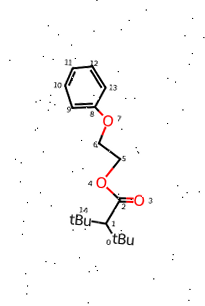 CC(C)(C)C(C(=O)OCCOc1ccccc1)C(C)(C)C